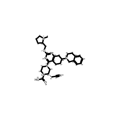 CN1CCCC1COc1nc2c(c(N3CCN(C(=O)O)[C@@H](CC#N)C3)n1)CCC(N1CCc3ccccc3C1)C2